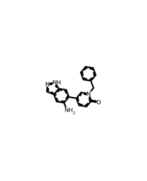 Nc1cc2cn[nH]c2cc1-c1ccc(=O)n(Cc2ccccc2)c1